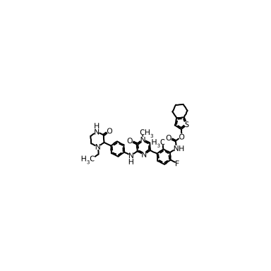 CCN1CCNC(=O)C1c1ccc(Nc2nc(-c3ccc(F)c(NC(=O)Oc4cc5c(s4)CCCC5)c3C)cn(C)c2=O)cc1